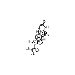 CCN(CC)C(=O)CC1CC[C@H]2[C@@H]3CCC4NC(=O)CC[C@]4(C)[C@@H]3CC[C@]12C